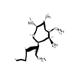 CCCC(O)[C@H]1O[C@H](O)[C@H](O)[C@@H](O)[C@H]1O